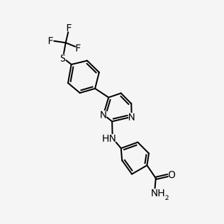 NC(=O)c1ccc(Nc2nccc(-c3ccc(SC(F)(F)F)cc3)n2)cc1